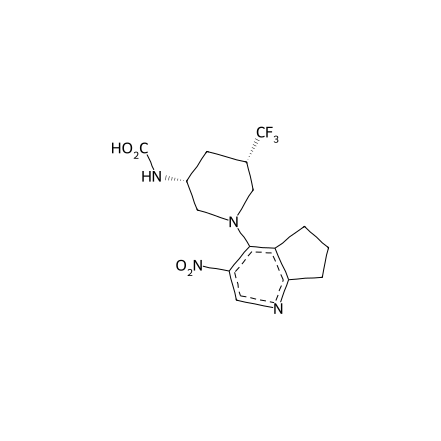 O=C(O)N[C@@H]1C[C@H](C(F)(F)F)CN(c2c([N+](=O)[O-])cnc3c2CCC3)C1